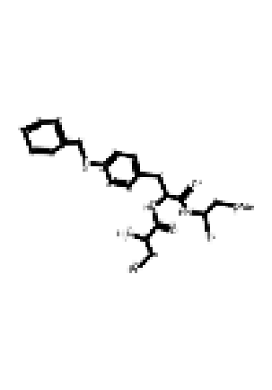 CCC(COC)NC(=O)C(Cc1ccc(OCc2ccccc2)cc1)NC(=O)C(N)CC(C)C